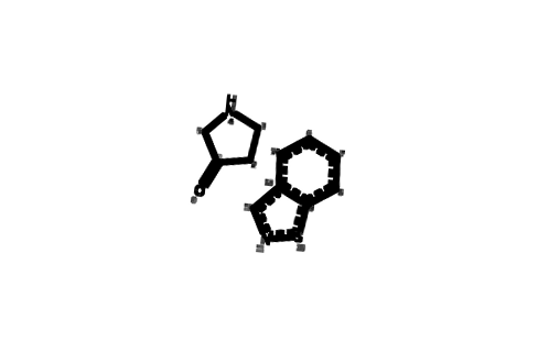 O=C1CCNC1.c1ccc2sncc2c1